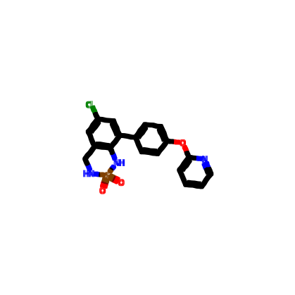 O=S1(=O)NCc2cc(Cl)cc(-c3ccc(Oc4ccccn4)cc3)c2N1